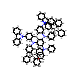 c1ccc(N(c2ccccc2)c2cc3c4c(c2)N(c2cccc([Si](c5ccccc5)(c5ccccc5)c5ccccc5)c2)c2cc(-n5c6ccccc6c6ccccc65)ccc2B4c2ccc(-n4c5ccccc5c5ccccc54)cc2N3c2cccc([Si](c3ccccc3)(c3ccccc3)c3ccccc3)c2)cc1